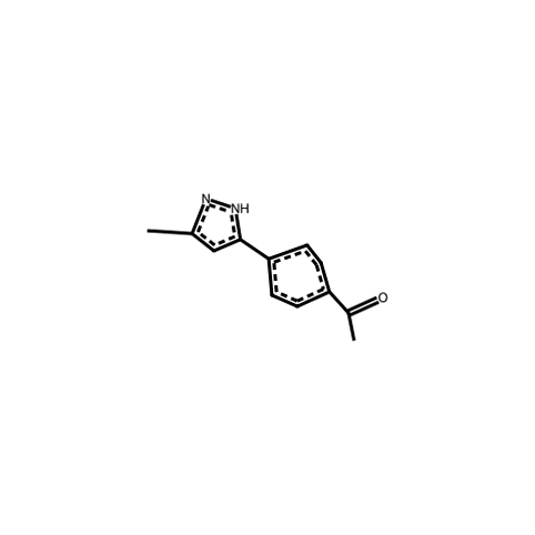 CC(=O)c1ccc(-c2cc(C)n[nH]2)cc1